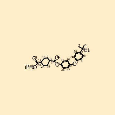 CCC(C)(C)c1ccc(Oc2ccc(OC(=O)C3CCC(C(=O)OC(C)C)CC3)cc2)cc1